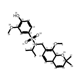 COC1=C(CN(C(C)C)S(=O)(=O)c2ccc(O)c(OC)c2)C=CC2C=CC(C)(C)OC12